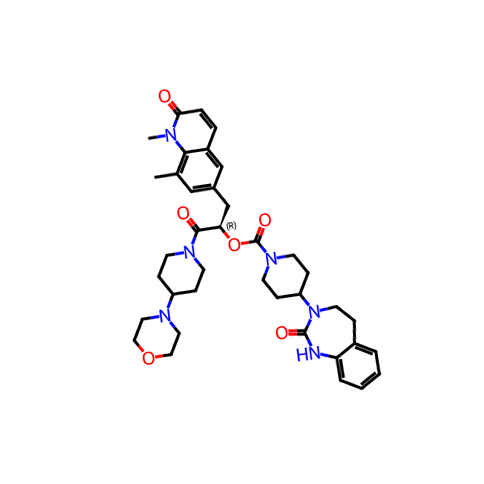 Cc1cc(C[C@@H](OC(=O)N2CCC(N3CCc4ccccc4NC3=O)CC2)C(=O)N2CCC(N3CCOCC3)CC2)cc2ccc(=O)n(C)c12